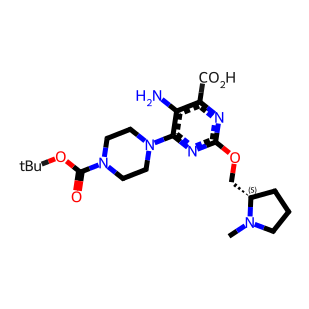 CN1CCC[C@H]1COc1nc(C(=O)O)c(N)c(N2CCN(C(=O)OC(C)(C)C)CC2)n1